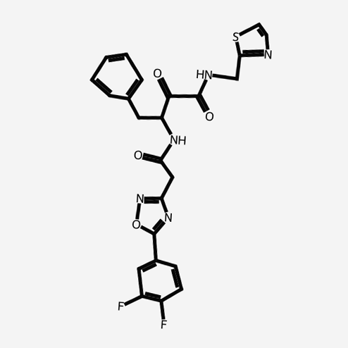 O=C(Cc1noc(-c2ccc(F)c(F)c2)n1)NC(Cc1ccccc1)C(=O)C(=O)NCc1nccs1